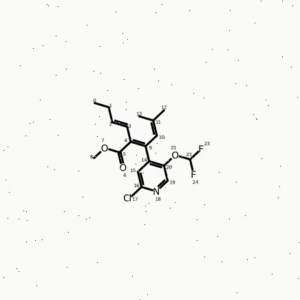 CC/C=C/C(C(=O)OC)=C(\C=C(C)C)c1cc(Cl)ncc1OC(F)F